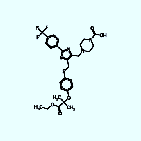 CCOC(=O)C(C)(C)Oc1ccc(SCc2sc(-c3ccc(C(F)(F)F)cc3)nc2CN2CCN(C(=O)O)CC2)cc1